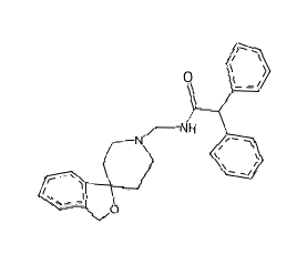 O=C(NCN1CCC2(CC1)OCc1ccccc12)C(c1ccccc1)c1ccccc1